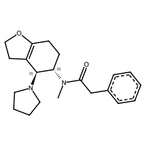 CN(C(=O)Cc1ccccc1)[C@H]1CCC2=C(CCO2)[C@@H]1N1CCCC1